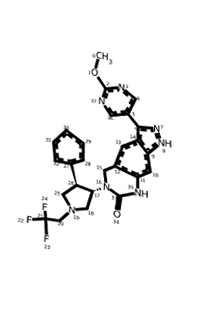 COc1ncc(-c2n[nH]c3cc4c(cc23)CN([C@@H]2CN(CC(F)(F)F)C[C@H]2c2ccccc2)C(=O)N4)cn1